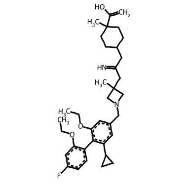 C=C(O)C1(C)CCC(CC(=N)CC2(C)CN(Cc3cc(OCC)c(-c4ccc(F)cc4OCC)c(C4CC4)c3)C2)CC1